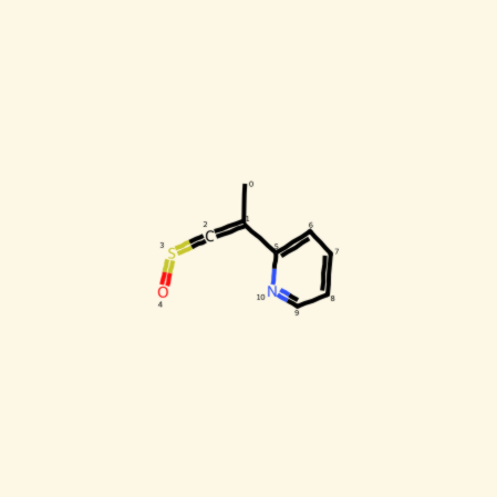 CC(=C=S=O)c1ccccn1